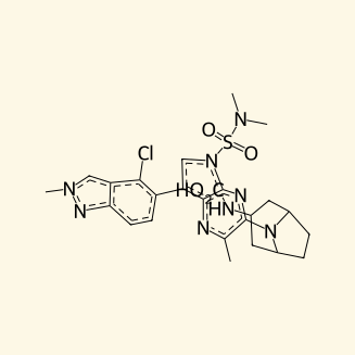 Cc1nc2c(-c3ccc4nn(C)cc4c3Cl)cn(S(=O)(=O)N(C)C)c2nc1N1C2CCC1CC(NC(=O)O)C2